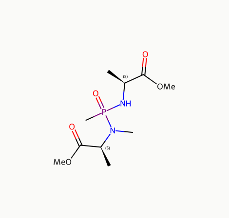 COC(=O)[C@H](C)NP(C)(=O)N(C)[C@@H](C)C(=O)OC